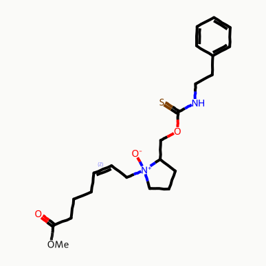 COC(=O)CCC/C=C\C[N+]1([O-])CCCC1COC(=S)NCCc1ccccc1